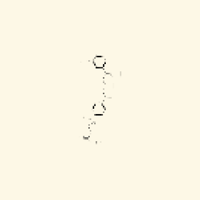 COC(=O)CCS(=O)(=O)c1ccc(C(C)CNCC(O)c2cccc(Cl)c2)cc1